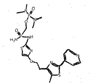 Cc1sc(-c2ccncc2)nc1CCOc1csc(NP(N)(=O)COP(=O)(N(C)C)N(C)C)n1